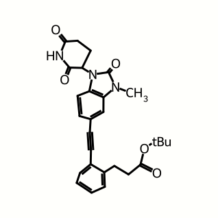 Cn1c(=O)n(C2CCC(=O)NC2=O)c2ccc(C#Cc3ccccc3CCC(=O)OC(C)(C)C)cc21